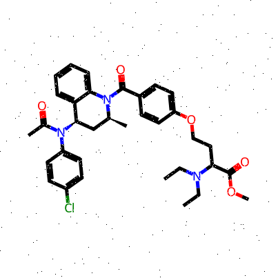 CCN(CC)C(CCOc1ccc(C(=O)N2c3ccccc3[C@H](N(C(C)=O)c3ccc(Cl)cc3)C[C@@H]2C)cc1)C(=O)OC